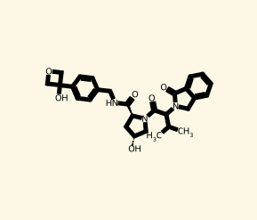 CC(C)C(C(=O)N1C[C@H](O)C[C@H]1C(=O)NCc1ccc(C2(O)COC2)cc1)N1Cc2ccccc2C1=O